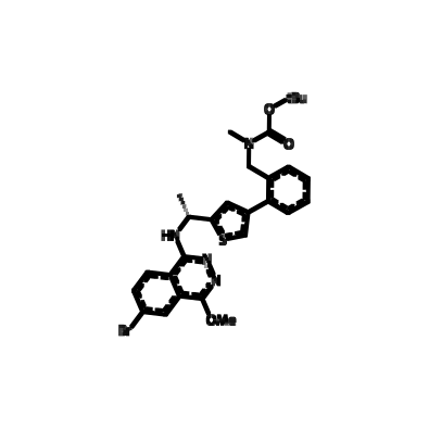 COc1nnc(N[C@H](C)c2cc(-c3ccccc3CN(C)C(=O)OC(C)(C)C)cs2)c2ccc(Br)cc12